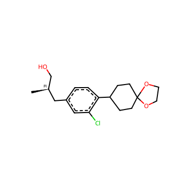 C[C@@H](CO)Cc1ccc(C2CCC3(CC2)OCCO3)c(Cl)c1